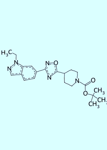 CCn1ncc2ccc(-c3noc(C4CCN(C(=O)OC(C)(C)C)CC4)n3)cc21